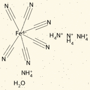 N#[C][Fe-4]([C]#N)([C]#N)([C]#N)([C]#N)[C]#N.O.[NH4+].[NH4+].[NH4+].[NH4+]